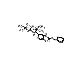 COC(C)(C)C(NC(=O)OC(C)(C)C)c1cc(NC(=O)OCc2ccccc2)c(F)cn1